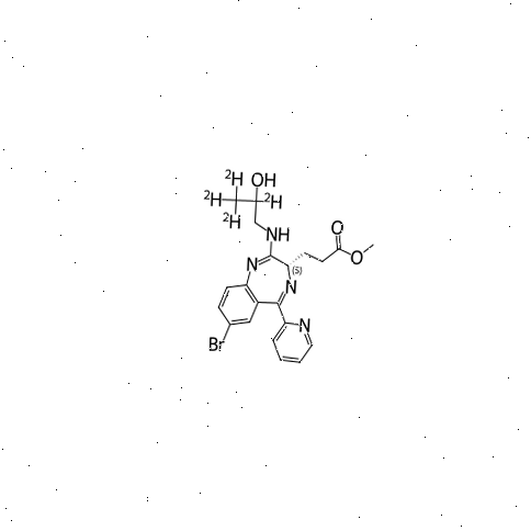 [2H]C([2H])([2H])C([2H])(O)CNC1=Nc2ccc(Br)cc2C(c2ccccn2)=N[C@H]1CCC(=O)OC